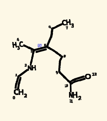 C=CN/C(C)=C(/CC)CCC(N)=O